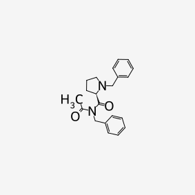 CC(=O)N(Cc1ccccc1)C(=O)[C@H]1CCCN1Cc1ccccc1